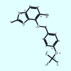 Cc1nc2c(OCc3ccc(OC(F)(F)F)cc3)c(Br)ccc2s1